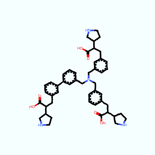 O=C(O)C(Cc1cccc(CN(Cc2cccc(CC(C(=O)O)C3CCNC3)c2)Cc2cccc(-c3cccc(CC(C(=O)O)C4CCNC4)c3)c2)c1)C1CCNC1